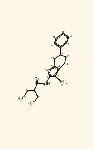 CCC(CC)C(=O)Nc1sc2c(c1N)CCC(c1ccccc1)C2